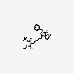 CCOC(=O)N(CCCCCC(=O)C1(C(=O)OCc2ccccc2)CCCN1)C(=O)OC(C)(C)C